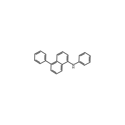 c1ccc(Nc2cccc3c(-c4ccccc4)cccc23)cc1